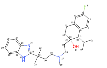 CC(C)[C@H]1c2ccc(F)cc2CC[C@]1(O)CCN(C)CCC(C)(C)c1nc2ccccc2[nH]1